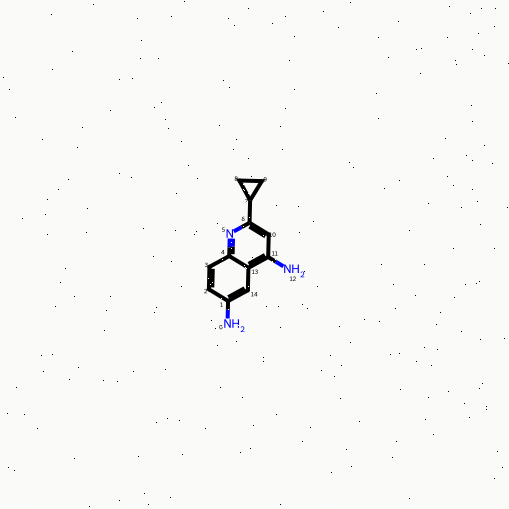 Nc1ccc2nc(C3CC3)cc(N)c2c1